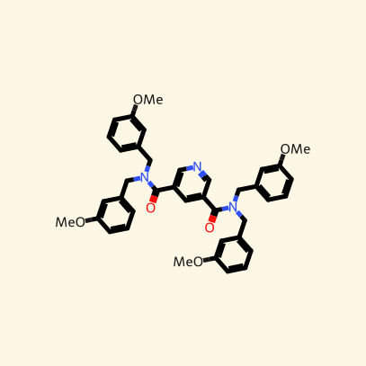 COc1cccc(CN(Cc2cccc(OC)c2)C(=O)c2cncc(C(=O)N(Cc3cccc(OC)c3)Cc3cccc(OC)c3)c2)c1